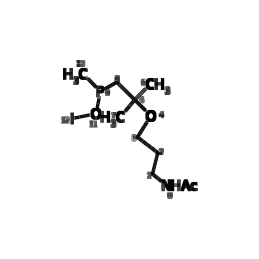 CC(=O)NCCCOC(C)(C)CP(C)OI